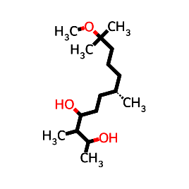 COC(C)(C)CCC[C@H](C)CCC(O)C(C)C(C)O